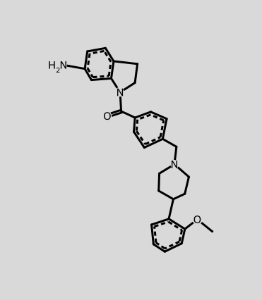 COc1ccccc1C1CCN(Cc2ccc(C(=O)N3CCc4ccc(N)cc43)cc2)CC1